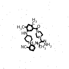 Cc1cc(C)c(C(=O)N2CCN(/C(=N/N)N(C)N)CC2)cc1NC1CCN(c2ccccc2C#N)CC1